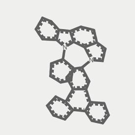 c1ccc(-n2c3ccccc3c3ccc4ccn(-c5ccc6c7ccccc7c7ccccc7c6c5)c4c32)cc1